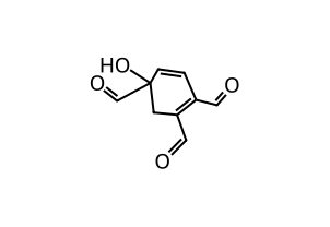 O=CC1=C(C=O)CC(O)(C=O)C=C1